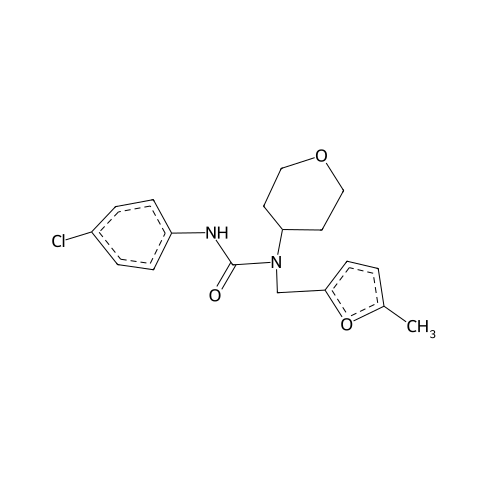 Cc1ccc(CN(C(=O)Nc2ccc(Cl)cc2)C2CCOCC2)o1